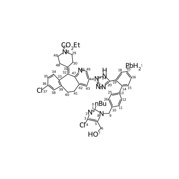 CCCCc1nc(Cl)c(CO)n1Cc1ccc(-c2ccccc2-c2nnn[nH]2)cc1.CCOC(=O)N1CCC(=C2c3ccc(Cl)cc3CCc3cccnc32)CC1.[PbH2]